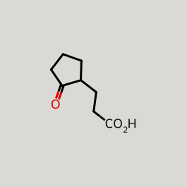 O=C(O)CCC1CCCC1=O